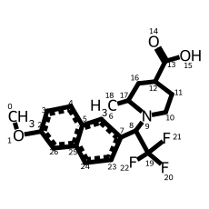 COc1ccc2cc(C(N3CCC(C(=O)O)CC3C)C(F)(F)F)ccc2c1